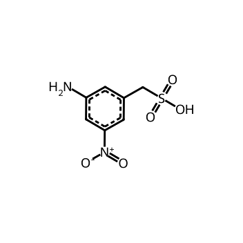 Nc1cc(CS(=O)(=O)O)cc([N+](=O)[O-])c1